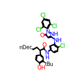 CCCCCCCCCCCCC(C(=O)Nc1ccc(Cl)c(Nc2cc(=O)n(-c3c(Cl)cc(Cl)cc3Cl)[nH]2)c1)c1ccc(O)c(C(C)(C)C)c1